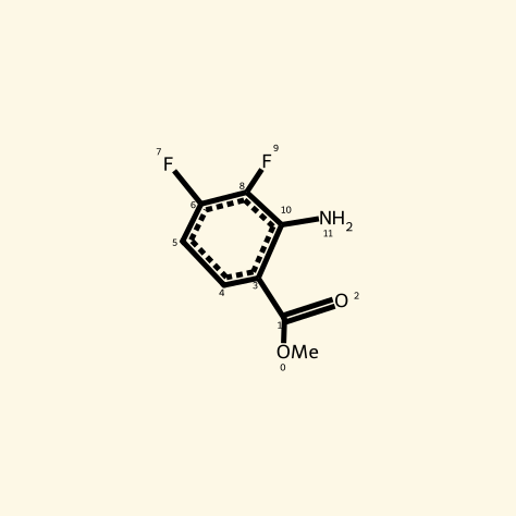 COC(=O)c1ccc(F)c(F)c1N